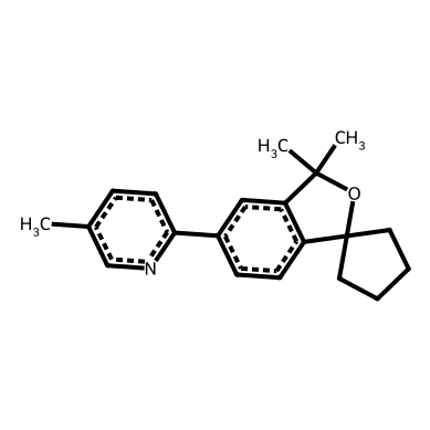 Cc1ccc(-c2ccc3c(c2)C(C)(C)OC32CCCC2)nc1